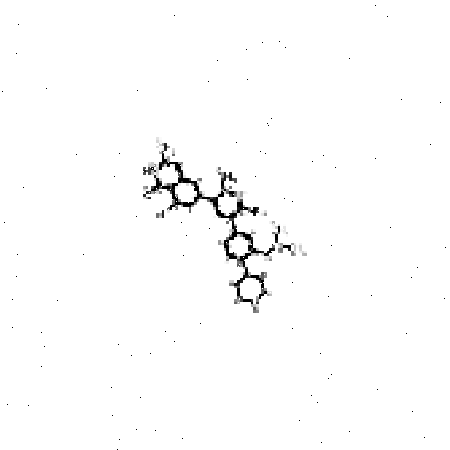 Cc1cc2cc(-c3cc(-c4ccc(C5CCOCC5)c(CN(C)C)c4)c(F)nc3N)cc(F)c2c(=O)[nH]1